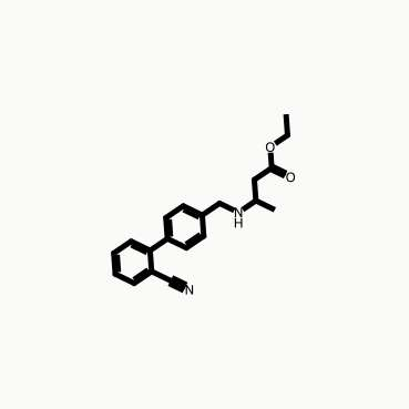 CCOC(=O)CC(C)NCc1ccc(-c2ccccc2C#N)cc1